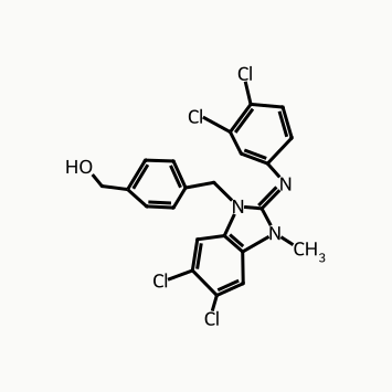 Cn1/c(=N/c2ccc(Cl)c(Cl)c2)n(Cc2ccc(CO)cc2)c2cc(Cl)c(Cl)cc21